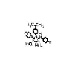 CC(C)c1ccc(N2C(N3CCOCC3)=NC(N)=NC2Nc2ccc(F)cc2)cc1.Cl